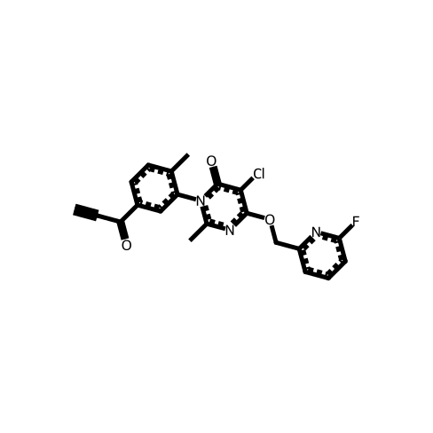 C#CC(=O)c1ccc(C)c(-n2c(C)nc(OCc3cccc(F)n3)c(Cl)c2=O)c1